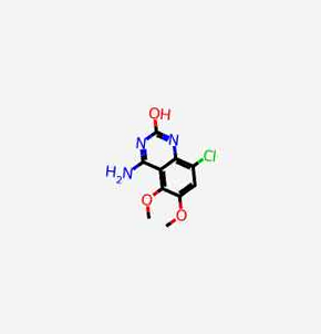 COc1cc(Cl)c2nc(O)nc(N)c2c1OC